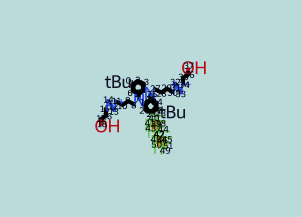 CC(C)(C)c1ccc2c(c1)N(CCCC[N+](C)(C)CCCO)c1ccc(C(C)(C)C)cc1N2CCCC[N+](C)(C)CCCO.F[P-](F)(F)(F)(F)F.F[P-](F)(F)(F)(F)F